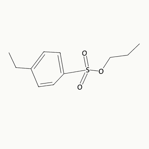 CCCOS(=O)(=O)c1ccc(CC)cc1